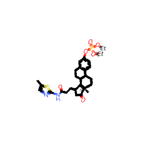 CCOP(=O)(OCC)Oc1ccc2c(c1)CCC1C2CC[C@]2(C)C(=O)CC(CCC(=O)Nc3ncc(C)s3)C12